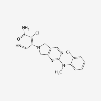 CN(c1ncc2c(n1)CN(/C(C=N)=C(\Cl)C(N)=O)C2)c1ccccc1Cl